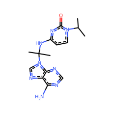 CC(C)n1ccc(NC(C)(C)n2cnc3c(N)ncnc32)nc1=O